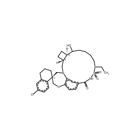 CCN1CCCCC(O)[C@@H]2CC[C@H]2CN2C[C@@]3(CCCc4cc(Cl)ccc43)COc3ccc(cc32)C(=O)NS1(=O)=O